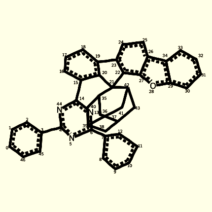 c1ccc(-c2nc(-c3ccccc3)nc(-c3cccc4c3C3(c5c-4ccc4c5oc5ccccc54)C4CC5CC(C4)CC3C5)n2)cc1